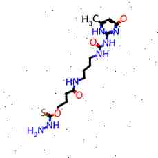 Cc1cc(=O)nc(NC(=O)NCCCCNC(=O)CCCOC(=S)NN)[nH]1